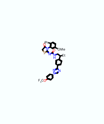 CCC(CNC(=O)/N=C1/SCC(=O)N1c1cc(OC)ccc1C(C)C)c1ccc(-c2ncn(-c3ccc(OC(F)(F)F)cc3)n2)cc1